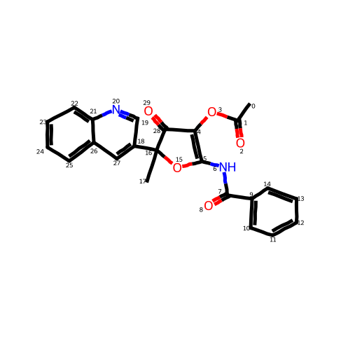 CC(=O)OC1=C(NC(=O)c2ccccc2)OC(C)(c2cnc3ccccc3c2)C1=O